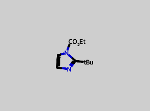 CCOC(=O)n1ccnc1C(C)(C)C